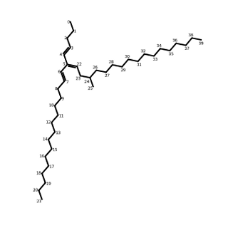 CCCC=CC(C=CCCCCCCCCCCCCCC)=CCC(C)CCCCCCCCCCCCCC